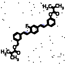 C=C(C)C(=O)OCc1cccc(/C=C/c2ccc(/C=C/c3cccc(OC(=O)C(=C)C)c3)cc2F)c1